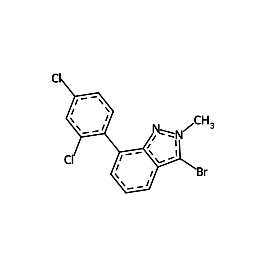 Cn1nc2c(-c3ccc(Cl)cc3Cl)cccc2c1Br